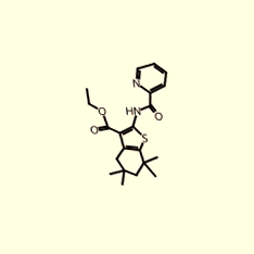 CCOC(=O)c1c(NC(=O)c2ccccn2)sc2c1CC(C)(C)CC2(C)C